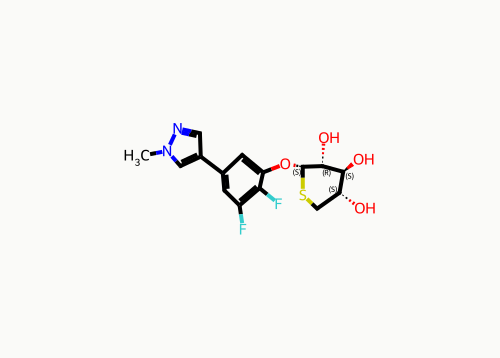 Cn1cc(-c2cc(F)c(F)c(O[C@H]3SC[C@@H](O)[C@H](O)[C@H]3O)c2)cn1